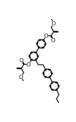 C=C(COC)C(=O)Oc1ccc(-c2ccc(OC(=O)C(=C)COC)c(CCc3ccc(-c4ccc(CCC)cc4)cc3)c2)cc1